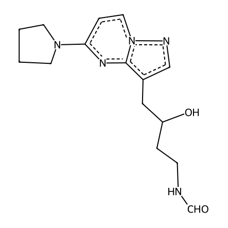 O=CNCCC(O)Cc1cnn2ccc(N3CCCC3)nc12